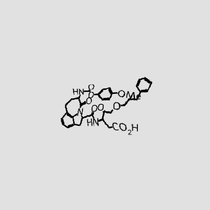 COc1ccc(OC(=O)NC2CCc3cccc4c3N(C2=O)C(C(=O)NC(CC(=O)O)C(=O)COCCCc2ccccc2)C4)cc1